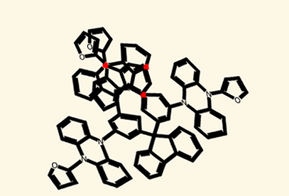 C1=COC(N2c3ccccc3N(c3cc(N4c5ccccc5N(c5ccco5)c5ccccc54)cc(C4(c5cc(N6c7ccccc7N(c7ccco7)c7ccccc76)cc(N6c7ccccc7N(c7ccco7)c7ccccc76)c5)c5ccccc5-c5ccccc54)c3)c3ccccc32)C1